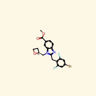 COC(=O)c1ccc2nc(Cc3c(F)cc(Br)cc3F)n(C[C@@H]3CCO3)c2c1